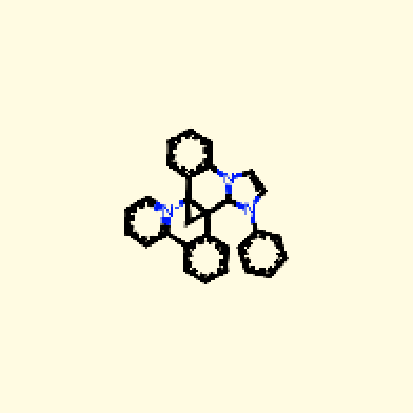 C1=CN2c3ccccc3C34CC3(c3ccccc3-c3cccc[n+]34)C2N1c1ccccc1